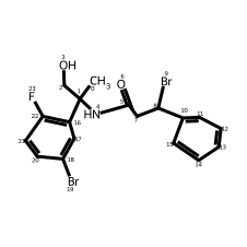 CC(CO)(NC(=O)CC(Br)c1ccccc1)c1cc(Br)ccc1F